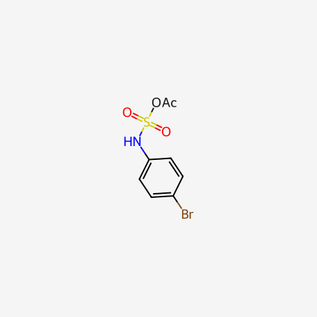 CC(=O)OS(=O)(=O)Nc1ccc(Br)cc1